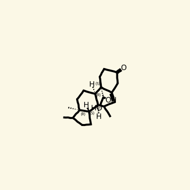 CC1C=C2CC(=O)CC[C@]2(C(O)O)[C@@H]2CC[C@]3(C)C(C)CC[C@H]3[C@H]12